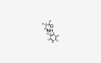 CC(=O)C(C)CNCc1ccccc1